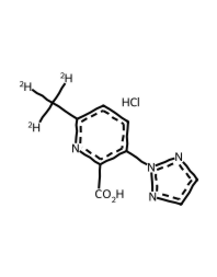 Cl.[2H]C([2H])([2H])c1ccc(-n2nccn2)c(C(=O)O)n1